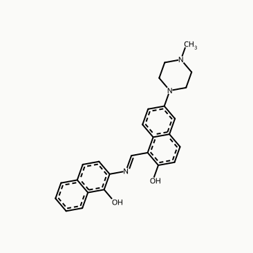 CN1CCN(c2ccc3c(C=Nc4ccc5ccccc5c4O)c(O)ccc3c2)CC1